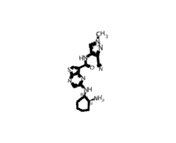 Cn1cc(NC(=O)c2csc3ncc(N[C@@H]4CCCC[C@@H]4N)nc23)c(C#N)n1